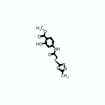 COC(=O)c1ccc(NC(=O)CSc2nnc(C)s2)cc1O